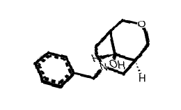 O[C@@H]1C2COC[C@H]1CN(Cc1ccccc1)C2